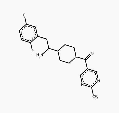 NC(Cc1cc(F)ccc1F)C1CCN(C(=O)c2cnc(C(F)(F)F)nc2)CC1